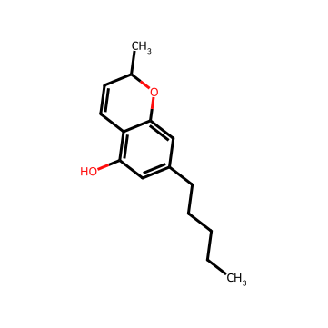 CCCCCc1cc(O)c2c(c1)OC(C)C=C2